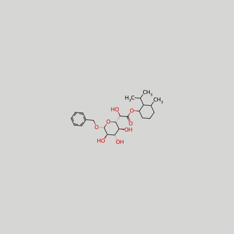 CC(C)C1C(C)CCCC1OC(=O)C(O)[C@H]1O[C@@H](OCc2ccccc2)[C@H](O)[C@@H](O)[C@@H]1O